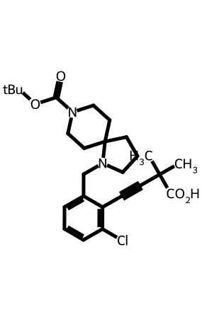 CC(C)(C)OC(=O)N1CCC2(CCCN2Cc2cccc(Cl)c2C#CC(C)(C)C(=O)O)CC1